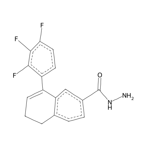 NNC(=O)c1ccc2c(c1)C(c1ccc(F)c(F)c1F)=CCC2